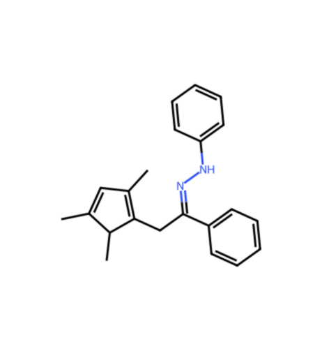 CC1=CC(C)=C(CC(=NNc2ccccc2)c2ccccc2)C1C